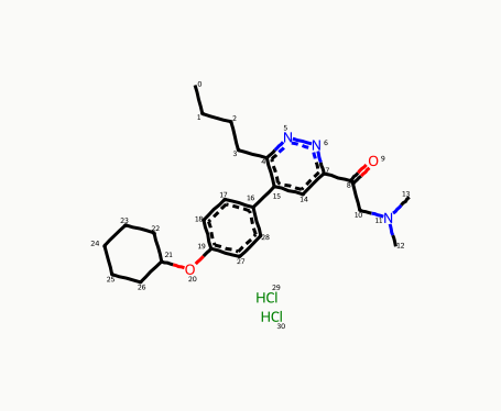 CCCCc1nnc(C(=O)CN(C)C)cc1-c1ccc(OC2CCCCC2)cc1.Cl.Cl